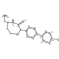 NCC1CCOC(c2ccc(-c3ccc(Cl)cc3)cc2)C(=O)N1